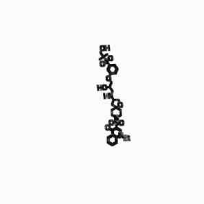 CCn1cc(S(=O)(=O)N2CCC3(CC2)CC(NCC(O)COc2cccc(S(=O)(=O)C(C)(C)CO)c2)CO3)c(=O)c2ccccc21